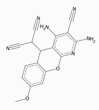 COc1ccc2c(c1)Oc1nc(N)c(C#N)c(N)c1C2C(C#N)C#N